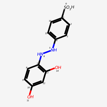 O=S(=O)(O)c1ccc(NNc2ccc(O)cc2O)cc1